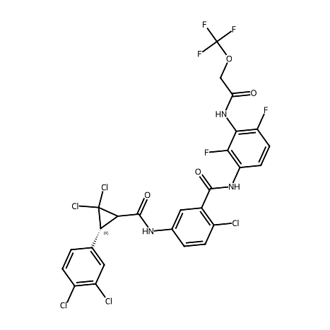 O=C(COC(F)(F)F)Nc1c(F)ccc(NC(=O)c2cc(NC(=O)C3[C@H](c4ccc(Cl)c(Cl)c4)C3(Cl)Cl)ccc2Cl)c1F